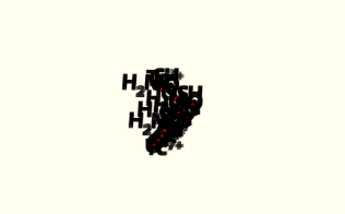 CCOC(=O)c1ccc(N)c(S)c1.CCOC(=O)c1ccc(N)c(S)c1.CCOC(=O)c1ccc(N)c(S)c1.CCOC(=O)c1ccc(N)c(S)c1.[O-2].[O-2].[O-2].[O-2].[O-2].[O-2].[O-2].[Tc+7].[Tc+7]